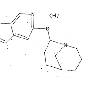 [CH2].c1cc2cc(OC3CCC4CCCN3C4)ncc2s1